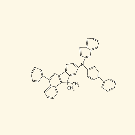 CC1(C)c2cc(N(c3ccc(-c4ccccc4)cc3)c3ccc4ccccc4c3)ccc2-c2cc(-c3ccccc3)c3ccccc3c21